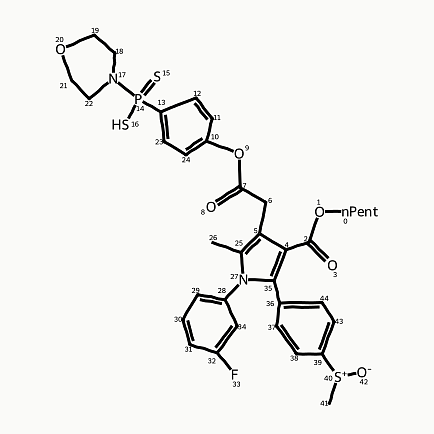 CCCCCOC(=O)c1c(CC(=O)Oc2ccc(P(=S)(S)N3CCOCC3)cc2)c(C)n(-c2cccc(F)c2)c1-c1ccc([S+](C)[O-])cc1